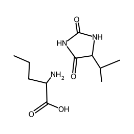 CC(C)C1NC(=O)NC1=O.CCCC(N)C(=O)O